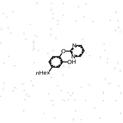 CCCCCCc1ccc(Oc2ncccn2)c(O)c1